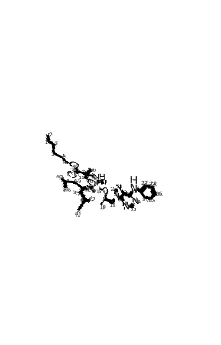 CCCCCCOC(=O)C(C)(C)N[P@](=O)(CO[C@H](C)Cn1cnc2c(Nc3ccccc3)ncnc21)ON=C(CC(C)C)CC(C)C